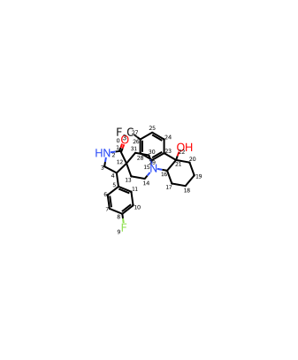 O=C1NCC(c2ccc(F)cc2)C12CCN(C1CCCCC1(O)c1ccc(C(F)(F)F)cc1)CC2